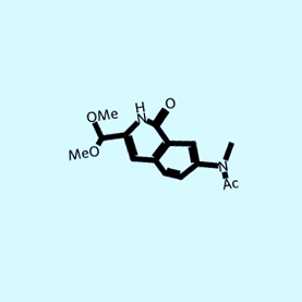 COC(OC)c1cc2ccc(N(C)C(C)=O)cc2c(=O)[nH]1